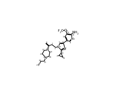 C=C(CCn1cc(-c2cnc(N)c(OC(F)(F)F)c2)nc1C1CC1)N1CCN(CCF)CC1